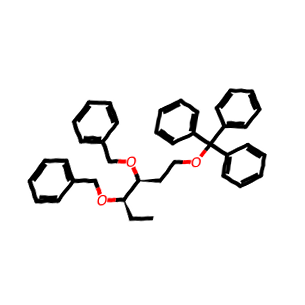 CC[C@@H](OCc1ccccc1)[C@H](CCOC(c1ccccc1)(c1ccccc1)c1ccccc1)OCc1ccccc1